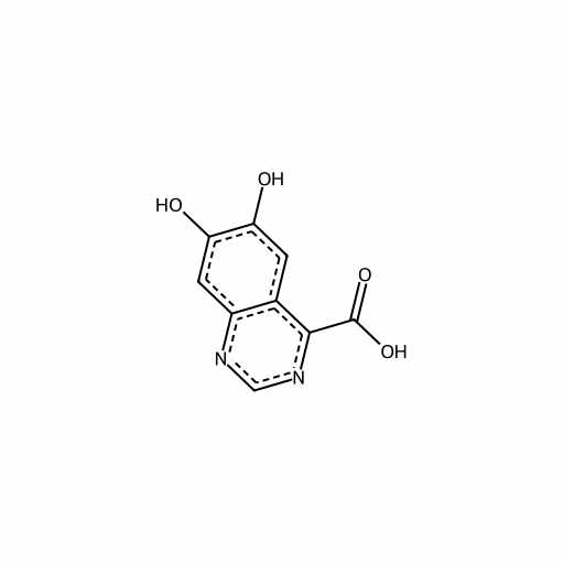 O=C(O)c1ncnc2cc(O)c(O)cc12